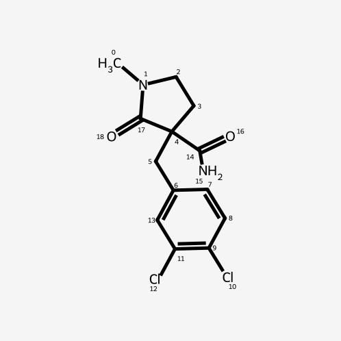 CN1CCC(Cc2ccc(Cl)c(Cl)c2)(C(N)=O)C1=O